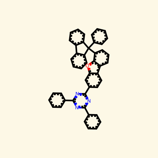 c1ccc(-c2nc(-c3ccccc3)nc(-c3ccc4c(c3)oc3c(C5(c6ccccc6)c6ccccc6-c6ccccc65)cccc34)n2)cc1